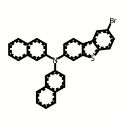 Brc1ccc2sc3cc(N(c4ccc5ccccc5c4)c4ccc5ccccc5c4)ccc3c2c1